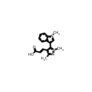 Cc1nn(C)c(-c2cn(C)c3ccccc23)c1C=CC(=O)O